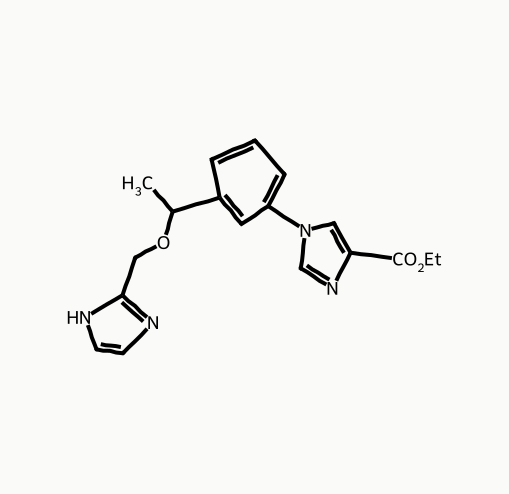 CCOC(=O)c1cn(-c2cccc(C(C)OCc3ncc[nH]3)c2)cn1